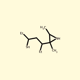 CCC(S)CC(CC)C1(C)NC1C